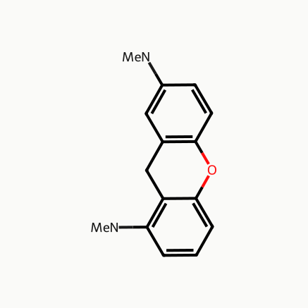 CNc1ccc2c(c1)Cc1c(NC)cccc1O2